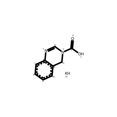 O=C(O)N1C=Nc2ccccc2C1.[KH]